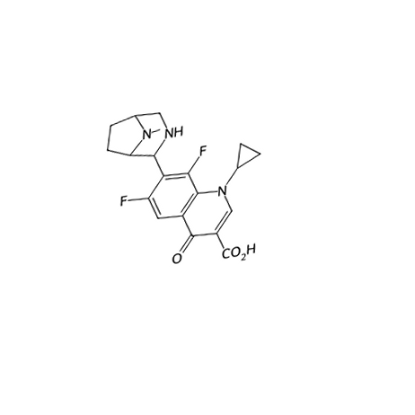 CN1C2CCC1C(c1c(F)cc3c(=O)c(C(=O)O)cn(C4CC4)c3c1F)NC2